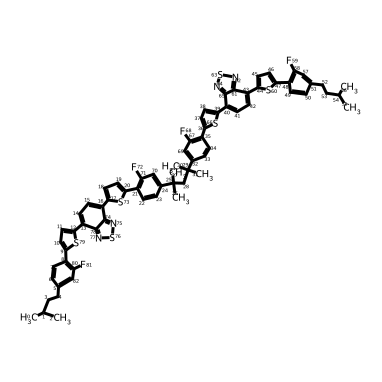 CC(C)CCc1ccc(-c2ccc(-c3ccc(-c4ccc(-c5ccc(C(C)(C)CC(C)(C)c6ccc(-c7ccc(-c8ccc(-c9ccc(-c%10ccc(CCC(C)C)cc%10F)s9)c9nsnc89)s7)c(F)c6)cc5F)s4)c4nsnc34)s2)c(F)c1